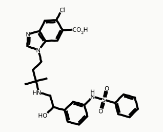 CC(C)(CCn1cnc2cc(Cl)c(C(=O)O)cc21)NCC(O)c1cccc(NS(=O)(=O)c2ccccc2)c1